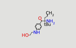 C=CCC(N)(C(=O)c1ccc(NCCO)cc1)C(C)(C)C